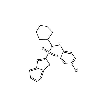 O=S(=O)(c1nc2ccccc2s1)N(Sc1ccc(Cl)cc1)C1CCCCC1